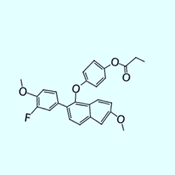 CCC(=O)Oc1ccc(Oc2c(-c3ccc(OC)c(F)c3)ccc3cc(OC)ccc23)cc1